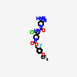 O=C(NCC1(CCl)CCN(C(=O)OCc2ccc(OC(F)(F)F)cc2F)CC1)N1CCc2[nH]nnc2C1